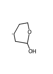 OC1C[C]CCO1